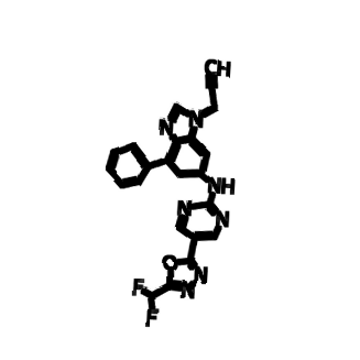 C#CCn1cnc2c(-c3ccccc3)cc(Nc3ncc(-c4nnc(C(F)F)o4)cn3)cc21